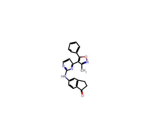 Cc1noc(-c2ccccc2)c1-c1ccnc(Nc2ccc3c(c2)CCC3=O)n1